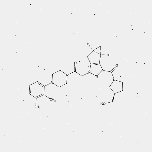 Cc1cccc(N2CCN(C(=O)Cn3nc(C(=O)N4CC[C@@H](CO)C4)c4c3C[C@H]3C[C@@H]43)CC2)c1C